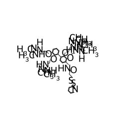 C/N=C(\NC)NCCOc1cccc(-c2ccc(CNC(=O)CCSSc3ccccn3)c(OCCN/C(=N/C)NC)c2OCCN/C(=N/C)NC)c1OCCN/C(=N/C)NC